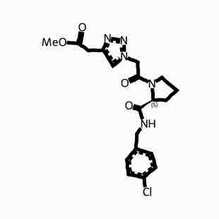 COC(=O)Cc1cn(CC(=O)N2CCC[C@H]2C(=O)NCc2ccc(Cl)cc2)nn1